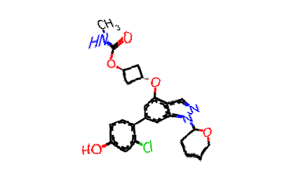 CNC(=O)O[C@H]1C[C@H](Oc2cc(-c3ccc(O)cc3Cl)cc3c2cnn3C2CCCCO2)C1